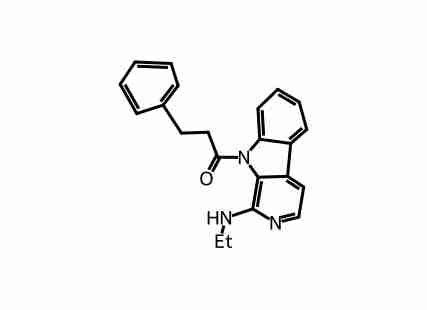 CCNc1nccc2c3ccccc3n(C(=O)CCc3ccccc3)c12